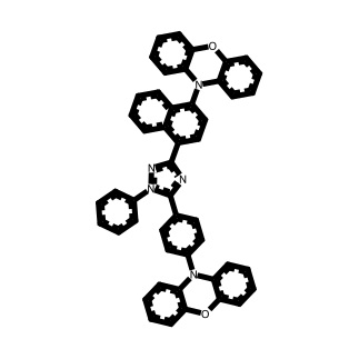 c1ccc(-n2nc(-c3ccc(N4c5ccccc5Oc5ccccc54)c4ccccc34)nc2-c2ccc(N3c4ccccc4Oc4ccccc43)cc2)cc1